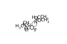 CN(C)C(=O)Sc1c(Cl)cc(F)c2c1CCN(C(=O)OC(C)(C)C)CC2